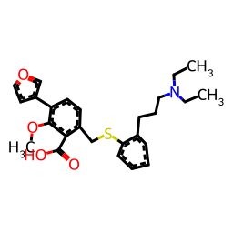 CCN(CC)CCCc1ccccc1SCc1ccc(-c2ccoc2)c(OC)c1C(=O)O